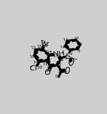 CC(=O)c1c([S+]([O-])c2ccccc2)[nH]c2c(Br)ccc(Cl)c2c1=O